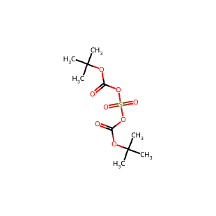 CC(C)(C)OC(=O)OS(=O)(=O)OC(=O)OC(C)(C)C